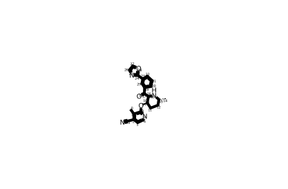 Cc1c(C#N)ccnc1O[C@@H]1CC[C@@H](C)NC1C(=O)c1cccc(-c2ncco2)c1